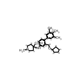 Cc1cc(-c2ccc(NC3(C(=O)O)CCN(C)CC3)cc2COC2CCCC2)cc(C)c1C